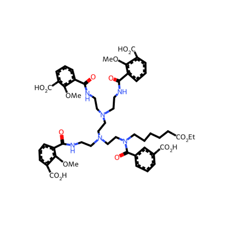 CCOC(=O)CCCCCN(CCN(CCNC(=O)c1cccc(C(=O)O)c1OC)CCN(CCNC(=O)c1cccc(C(=O)O)c1OC)CCNC(=O)c1cccc(C(=O)O)c1OC)C(=O)c1cccc(C(=O)O)c1